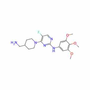 COc1cc(Nc2ncc(F)c(N3CCC(CN)CC3)n2)cc(OC)c1OC